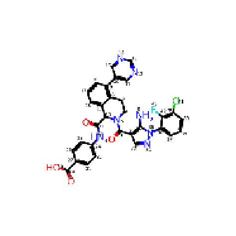 Nc1c(C(=O)N2CCc3c(-c4cncnc4)cccc3C2C(=O)Nc2ccc(C(=O)O)cc2)cnn1-c1cccc(Cl)c1F